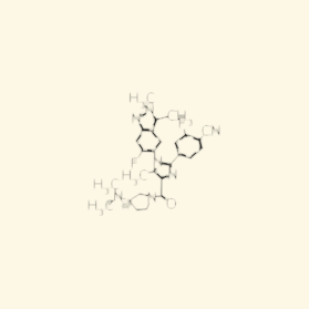 Cc1c2cc(-n3c(-c4ccc(C#N)c(F)c4)nc(C(=O)N4CC[C@H](N(C)C)C4)c3C)c(F)cc2nn1C